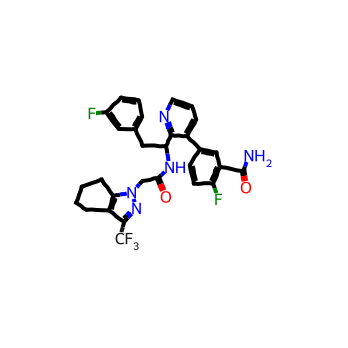 NC(=O)c1cc(-c2cccnc2C(Cc2cccc(F)c2)NC(=O)Cn2nc(C(F)(F)F)c3c2CCCC3)ccc1F